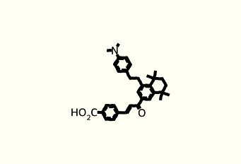 CN(C)c1ccc(CCc2cc(C(=O)C=Cc3ccc(C(=O)O)cc3)cc3c2C(C)(C)CCC3(C)C)cc1